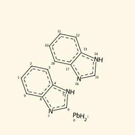 [PbH2].c1ccc2[nH]cnc2c1.c1ccc2[nH]cnc2c1